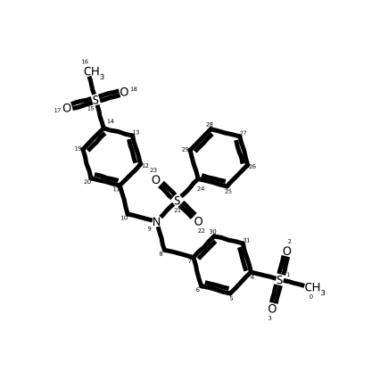 CS(=O)(=O)c1ccc(CN(Cc2ccc(S(C)(=O)=O)cc2)S(=O)(=O)c2ccccc2)cc1